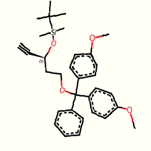 C#C[C@H](CCOC(c1ccccc1)(c1ccc(OC)cc1)c1ccc(OC)cc1)O[Si](C)(C)C(C)(C)C